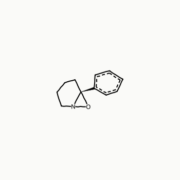 c1ccc([C@]23CCCCN2O3)cc1